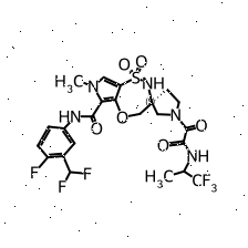 CC(NC(=O)C(=O)N1CC[C@@]2(COc3c(cn(C)c3C(=O)Nc3ccc(F)c(C(F)F)c3)S(=O)(=O)N2)C1)C(F)(F)F